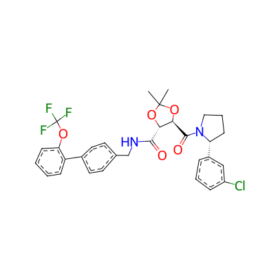 CC1(C)O[C@@H](C(=O)NCc2ccc(-c3ccccc3OC(F)(F)F)cc2)[C@H](C(=O)N2CCC[C@@H]2c2cccc(Cl)c2)O1